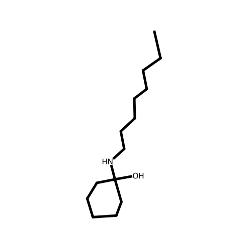 CCCCCCCCNC1(O)CCCCC1